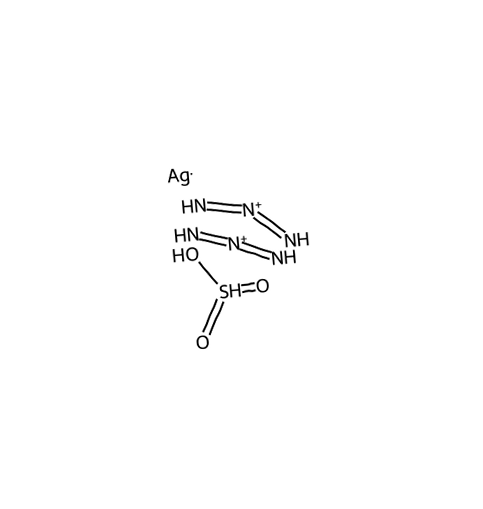 N=[N+]=N.N=[N+]=N.O=[SH](=O)O.[Ag]